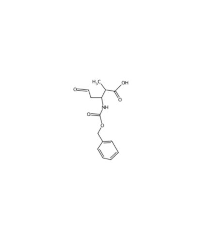 CC(C(=O)O)C(CC=O)NC(=O)OCc1ccccc1